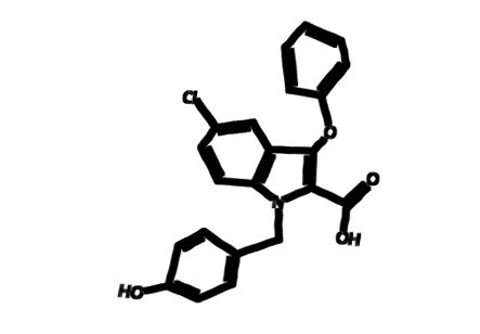 O=C(O)c1c(Oc2ccccc2)c2cc(Cl)ccc2n1Cc1ccc(O)cc1